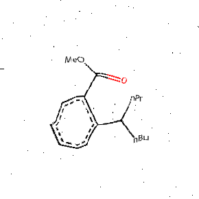 CCCCC(CCC)c1ccccc1C(=O)OC